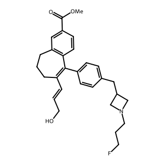 COC(=O)c1ccc2c(c1)CCCC(C=CCO)=C2c1ccc(CC2CN(CCCF)C2)cc1